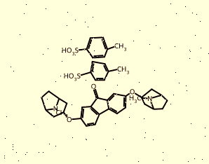 CN1C2CCC1CC(Oc1ccc3c(c1)C(=O)c1cc(OC4CC5CCC(C4)N5C)ccc1-3)C2.Cc1ccc(S(=O)(=O)O)cc1.Cc1ccc(S(=O)(=O)O)cc1